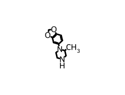 CC1CNCCN1c1ccc2c(c1)OCO2